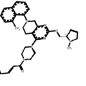 Cc1cccc2cccc(N3CCc4c(nc(OC[C@@H]5CCCN5C)nc4N4CCN(C(=O)/C=C/C(N)=O)CC4)C3)c12